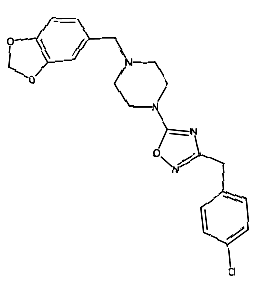 Clc1ccc(Cc2noc(N3CCN(Cc4ccc5c(c4)OCO5)CC3)n2)cc1